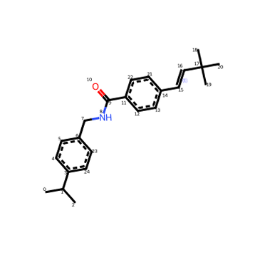 CC(C)c1ccc(CNC(=O)c2ccc(/C=C/C(C)(C)C)cc2)cc1